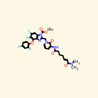 CN(C)C(=O)/C=C/CCCC(=O)Nc1cccn(Cc2nc3c(Oc4ccc(F)cc4F)c(F)c(F)cc3n2C(=O)OC(C)(C)C)c1=O